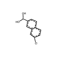 OB(O)c1ccc2ccc(Cl)cc2c1